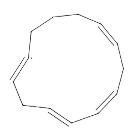 [C]1=C/C/C=C/C=C\C/C=C\CCC/1